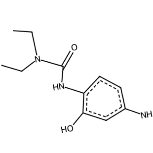 CCN(CC)C(=O)Nc1ccc(N)cc1O